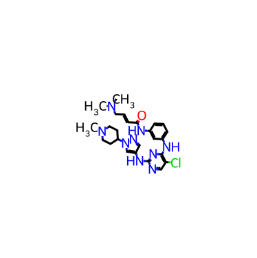 CN(C)CC=CC(=O)Nc1cccc(Nc2nc(Nc3cnn(C4CCN(C)CC4)c3)ncc2Cl)c1